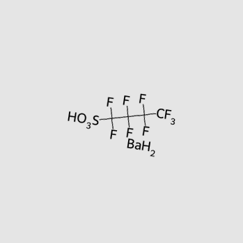 O=S(=O)(O)C(F)(F)C(F)(F)C(F)(F)C(F)(F)F.[BaH2]